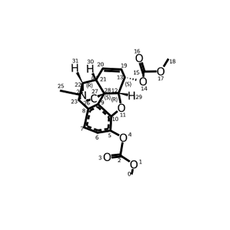 COC(=O)Oc1ccc2c3c1O[C@H]1[C@@H](OC(=O)OC)C=C[C@H]4[C@@H](C2)N(C)CC[C@@]341